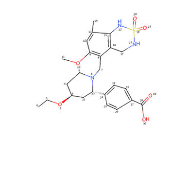 CCO[C@H]1CCN(Cc2c(OC)cc(C)c3c2CNS(=O)(=O)N3)[C@H](c2ccc(C(=O)O)cc2)C1